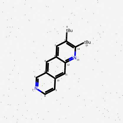 CC(C)(C)c1cc2cc3cnccc3cc2nc1C(C)(C)C